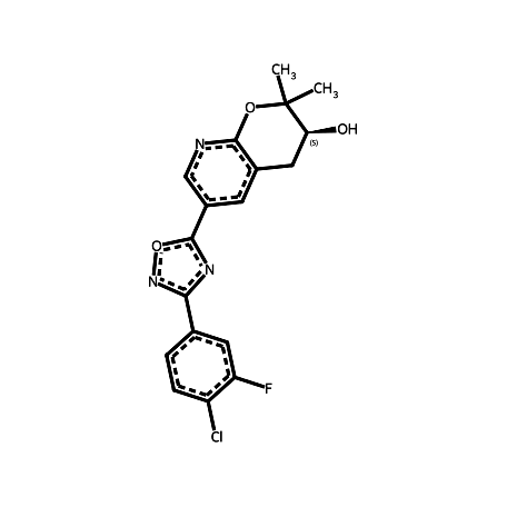 CC1(C)Oc2ncc(-c3nc(-c4ccc(Cl)c(F)c4)no3)cc2C[C@@H]1O